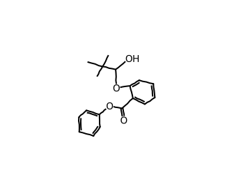 CC(C)(C)C(O)Oc1ccccc1C(=O)Oc1ccccc1